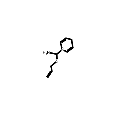 C=CCSC(N)N1C=CCC=C1